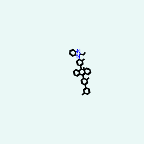 CCC1=NC2C=CC=CC2N1C1C=CC(C2c3ccccc3C(C3C=CC(C4=CC(C)CC=C4)=CC3C)=C3C=CC=CC32C)=CC1C